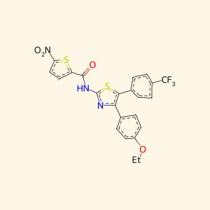 CCOc1ccc(-c2nc(NC(=O)c3ccc([N+](=O)[O-])s3)sc2-c2ccc(C(F)(F)F)cc2)cc1